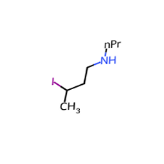 CCCNCCC(C)I